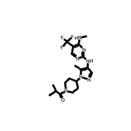 CNc1nc(Nc2cnn(C3CCN(C(=O)C(C)C)CC3)c2C)ncc1C(F)(F)F